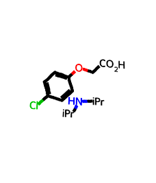 CC(C)NC(C)C.O=C(O)COc1ccc(Cl)cc1